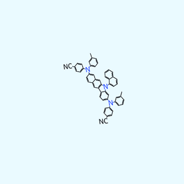 Cc1cccc(N(c2ccc(C#N)cc2)c2ccc3cc4c5ccc(N(c6ccc(C#N)cc6)c6cccc(C)c6)cc5n(-c5cccc6ccccc56)c4cc3c2)c1